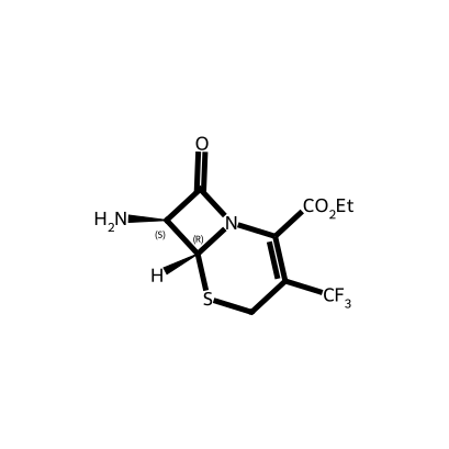 CCOC(=O)C1=C(C(F)(F)F)CS[C@@H]2[C@@H](N)C(=O)N12